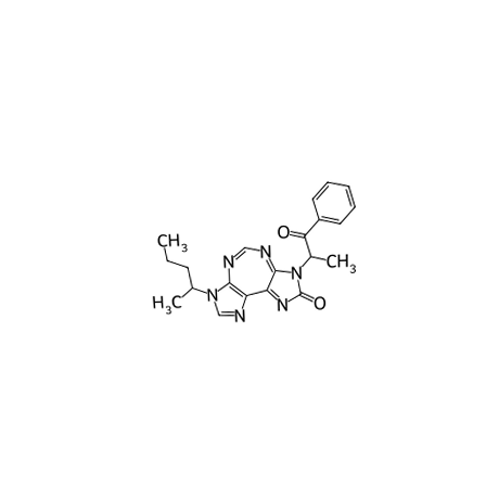 CCCC(C)n1cnc2c3nc(=O)n(C(C)C(=O)c4ccccc4)c-3ncnc21